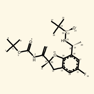 C=C(NC(=O)OC(C)(C)C)[C@@]1(C)Cc2cc(F)cc([C@@H](C)N[S@+]([O-])C(C)(C)C)c2O1